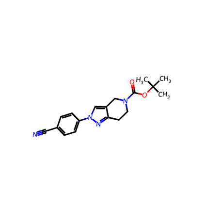 CC(C)(C)OC(=O)N1CCc2nn(-c3ccc(C#N)cc3)cc2C1